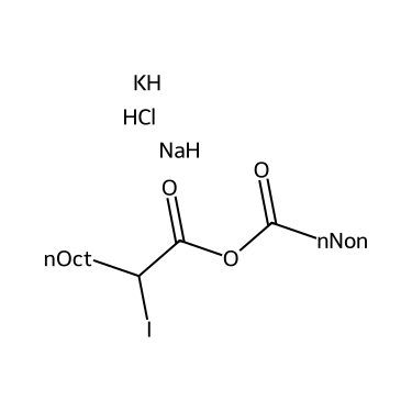 CCCCCCCCCC(=O)OC(=O)C(I)CCCCCCCC.Cl.[KH].[NaH]